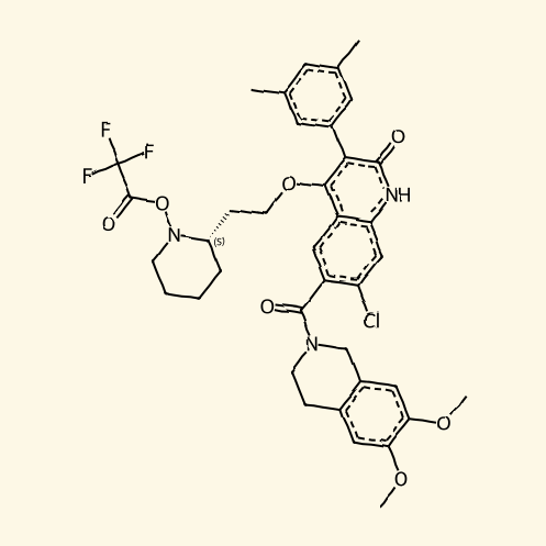 COc1cc2c(cc1OC)CN(C(=O)c1cc3c(OCC[C@@H]4CCCCN4OC(=O)C(F)(F)F)c(-c4cc(C)cc(C)c4)c(=O)[nH]c3cc1Cl)CC2